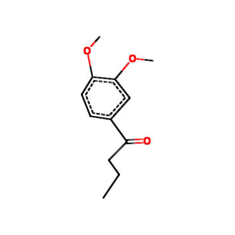 CCCC(=O)c1ccc(OC)c(OC)c1